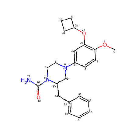 COc1ccc(N2CCN(C(N)=O)C(Cc3ccccc3)C2)cc1OC1CCC1